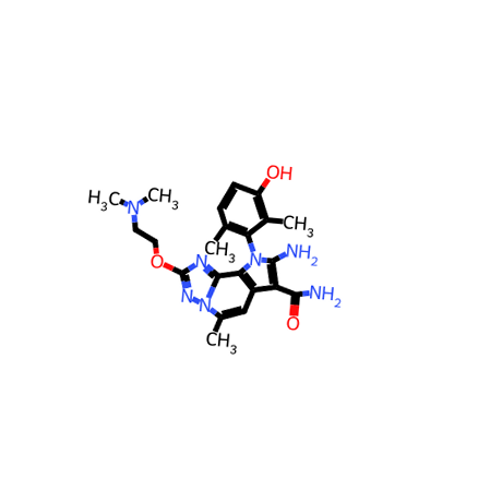 Cc1ccc(O)c(C)c1-n1c(N)c(C(N)=O)c2cc(C)n3nc(OCCN(C)C)nc3c21